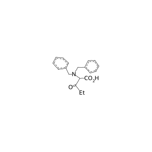 CCC(=O)C(C(=O)O)N(Cc1ccccc1)Cc1ccccc1